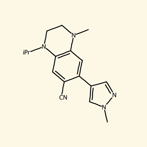 CC(C)N1CCN(C)c2cc(-c3cnn(C)c3)c(C#N)cc21